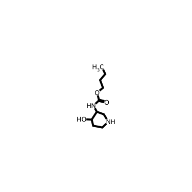 CCCCOC(=O)NC1CNCCC1O